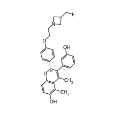 CC1=C(c2cccc(O)c2)[C@@H](c2ccc(OCCN3CC(CF)C3)cc2)Oc2ccc(O)c(C)c21